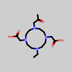 CCN1CCN(CC(=O)O)CCN(CC(C)=O)CCN(CC(=O)O)CC1